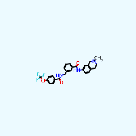 CN1CCc2ccc(NC(=O)c3cccc(CNC(=O)c4ccc(OC(F)(F)F)cc4)c3)cc2C1